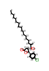 CCCCCCCCCCCCCCCCC(C)C(=O)[C@H]1CC(=O)O[C@@H]1c1ccc(Cl)cc1